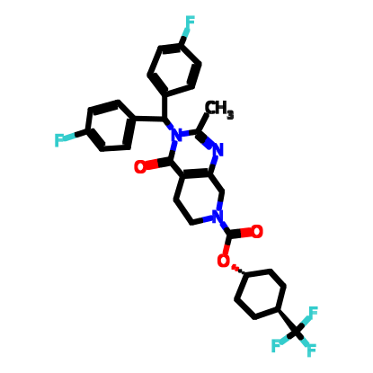 Cc1nc2c(c(=O)n1C(c1ccc(F)cc1)c1ccc(F)cc1)CCN(C(=O)O[C@H]1CC[C@H](C(F)(F)F)CC1)C2